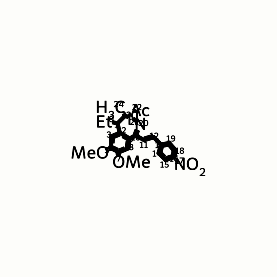 CCC1c2cc(OC)c(OC)cc2C(C=Cc2ccc([N+](=O)[O-])cc2)=NN(C(C)=O)C1C